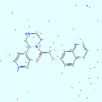 O=C(CSc1ccc2ccccc2c1)N1CCNCC1c1ccncc1